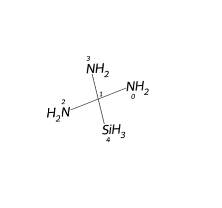 NC(N)(N)[SiH3]